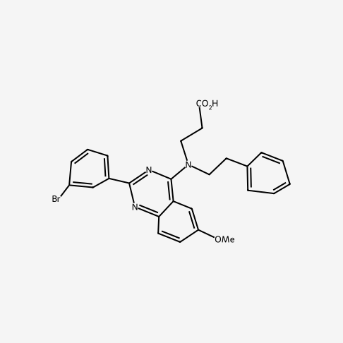 COc1ccc2nc(-c3cccc(Br)c3)nc(N(CCC(=O)O)CCc3ccccc3)c2c1